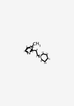 Cn1ccnc1CCN1CCCCC1